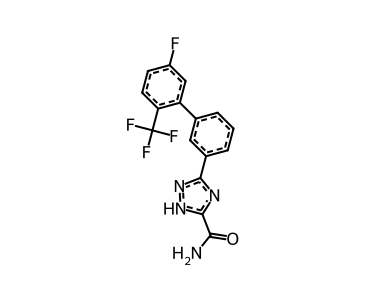 NC(=O)c1nc(-c2cccc(-c3cc(F)ccc3C(F)(F)F)c2)n[nH]1